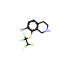 FC(F)C(F)(F)Sc1c(Cl)ccc2c1CNCC2